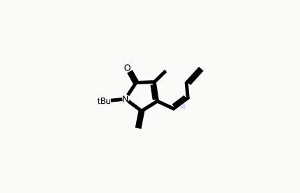 C=C/C=C\C1=C(C)C(=O)N(C(C)(C)C)C1=C